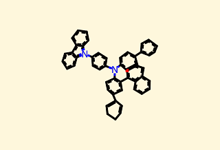 C1=CC(c2ccc(N(c3ccc(-c4ccccc4)cc3)c3ccc(-n4c5ccccc5c5ccccc54)cc3)c(-c3cccc4ccccc34)c2)=CCC1